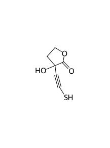 O=C1OCCC1(O)C#CS